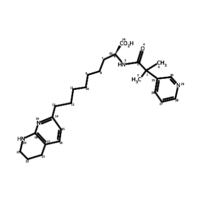 CC(C)(C(=O)N[C@@H](CCCCCCCc1ccc2c(n1)NCCC2)C(=O)O)c1cccnc1